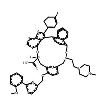 COc1ccccc1-c1nccc(COc2ccc3cc2C[C@H](C(=O)O)Oc2ncnc4sc(C5=CC=C(F)CC5)c(c24)-c2ccc(c4ccc#cc24)CN(CCN2CCN(C)CC2)C3)n1